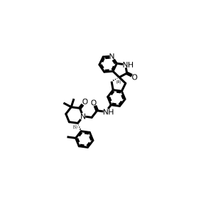 Cc1ccccc1[C@@H]1CCC(C)(C)C(=O)N1CC(=O)Nc1ccc2c(c1)C[C@@]1(C2)C(=O)Nc2ncccc21